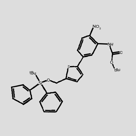 CC(C)(C)OC(=O)Nc1cc(-c2ccc(CO[Si](c3ccccc3)(c3ccccc3)C(C)(C)C)s2)ccc1[N+](=O)[O-]